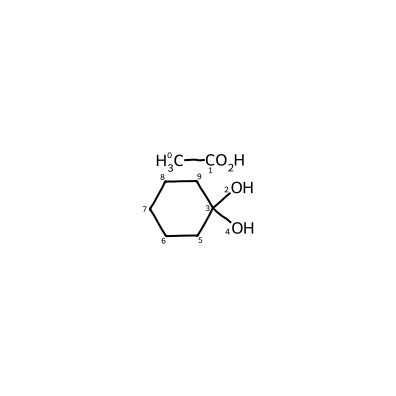 CC(=O)O.OC1(O)CCCCC1